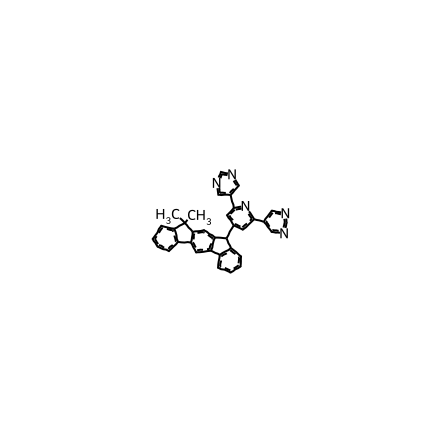 CC1(C)c2ccccc2-c2cc3c(cc21)C(c1cc(-c2cncnc2)nc(-c2cncnc2)c1)c1ccccc1-3